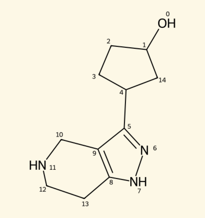 OC1CCC(c2n[nH]c3c2CNCC3)C1